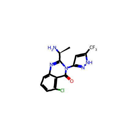 C[C@H](N)c1nc2cccc(Cl)c2c(=O)n1-c1cc(C(F)(F)F)[nH]n1